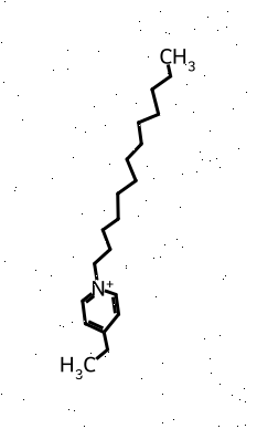 CCCCCCCCCCCCC[n+]1ccc(CC)cc1